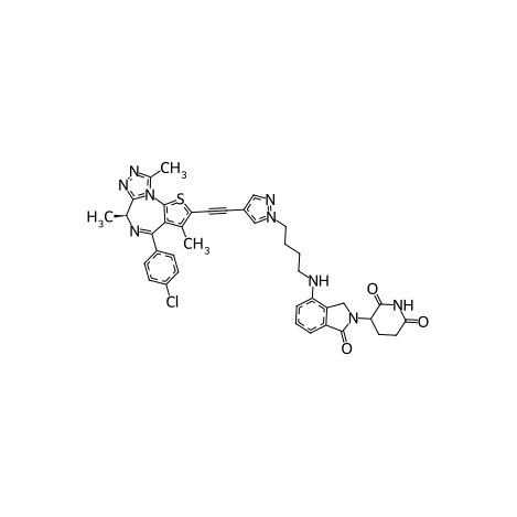 Cc1c(C#Cc2cnn(CCCCNc3cccc4c3CN(C3CCC(=O)NC3=O)C4=O)c2)sc2c1C(c1ccc(Cl)cc1)=N[C@@H](C)c1nnc(C)n1-2